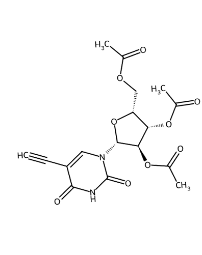 C#Cc1cn([C@@H]2O[C@H](COC(C)=O)[C@H](OC(C)=O)[C@H]2OC(C)=O)c(=O)[nH]c1=O